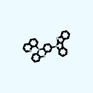 c1ccc2c(c1)Sc1cc(-n3c4ccccc4c4c5ccccc5oc43)ccc1B2c1cccc2cccnc12